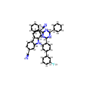 N#Cc1ccc2c3ccc(C#N)cc3n(-c3cc(-c4cccc(F)c4)ccc3-c3nc(-c4ccccc4)nc(-c4ccccc4)n3)c2c1